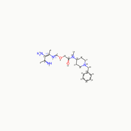 CC(=N)/C(N)=C(C)\N=C\OCC(=O)N(C)C1CCN(Cc2ccccc2)CC1